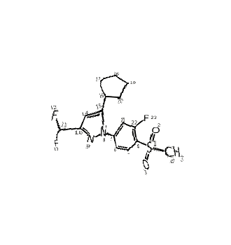 CS(=O)(=O)c1ccc(-n2nc(C(F)F)cc2C2CCCC2)cc1F